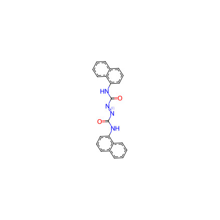 O=C(/N=N/C(=O)Nc1cccc2ccccc12)Nc1cccc2ccccc12